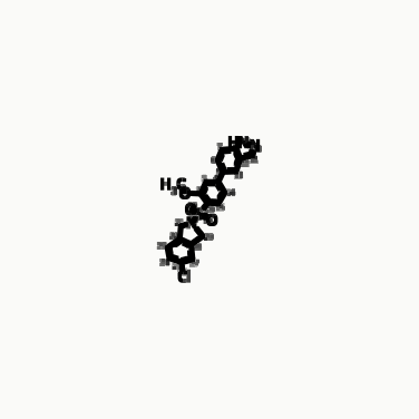 COc1cc(-c2ccc3[nH]ncc3c2)ccc1S(=O)(=O)N1Cc2ccc(Cl)cc2C1